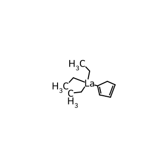 C[CH2][La]([CH2]C)([CH2]C)[C]1=CC=CC1